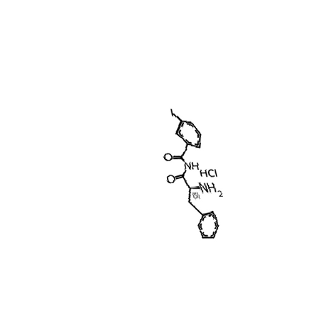 Cl.N[C@@H](Cc1ccccc1)C(=O)NC(=O)c1cccc(I)c1